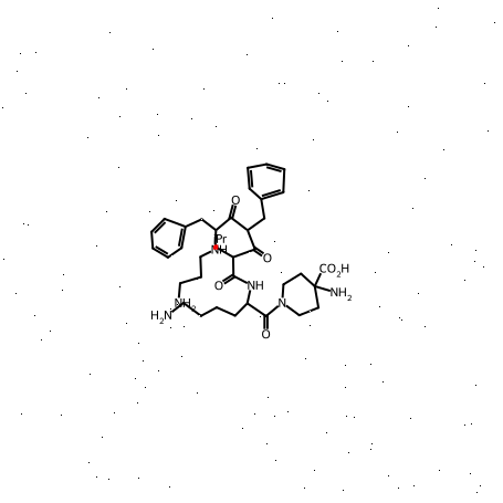 CC(C)CC(C(=O)NC(CCCCN)C(=O)N1CCC(N)(C(=O)O)CC1)C(=O)C(Cc1ccccc1)C(=O)C(Cc1ccccc1)NCCCN